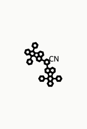 N#Cc1cc(-c2ccc3c4c(cccc24)-c2c-3c(-c3ccccc3)c3ccccc3c2-c2ccccc2)cc(-c2ccc3c4c(cccc24)-c2c-3c(-c3ccccc3)c3ccccc3c2-c2ccccc2)c1